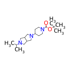 CC(C)N1CC2CN(C3CCN(C(=O)OC(C)(C)C)CC3)CC2C1